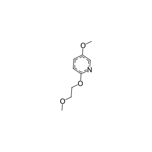 COCCOc1ccc(OC)cn1